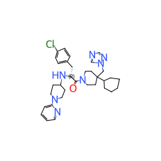 O=C([C@@H](Cc1ccc(Cl)cc1)NC1CCN(c2ccccn2)CC1)N1CCC(Cn2cncn2)(C2CCCCC2)CC1